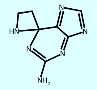 NC1=NC2(CCN2)C2=NC=NC2=N1